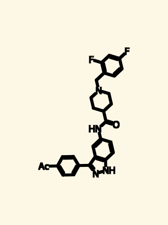 CC(=O)c1ccc(-c2n[nH]c3ccc(NC(=O)C4CCN(Cc5ccc(F)cc5F)CC4)cc23)cc1